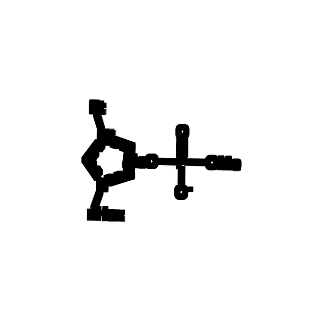 CCCCCCn1cc[n+](CC)c1.COP(=O)([O-])OC